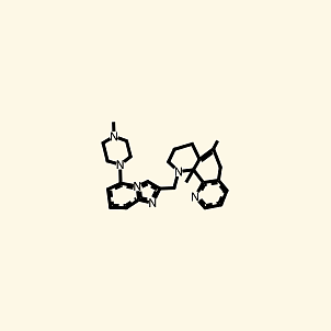 CC1=C2CCCN(Cc3cn4c(N5CCN(C)CC5)cccc4n3)C2(C)c2ncccc2C1